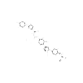 Cc1ccc(-c2ccc(C(=O)NC(Cc3ccc(-c4cc(-c5ccc(NC(=O)OC(C)C)cc5)[nH]n4)c(F)c3)C(=O)O)o2)cc1